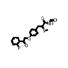 CSC(Cc1ccc(OCC(=O)c2ccccc2F)cc1)C(=O)NC=O